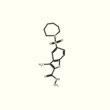 CNC(=O)c1oc2ccc(S(=O)(=O)N3CCCCCC3)cc2c1C